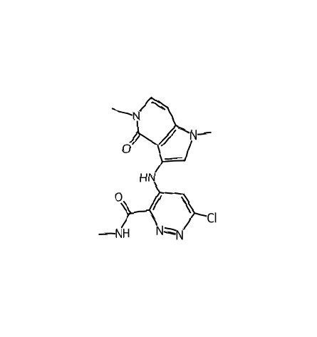 CNC(=O)c1nnc(Cl)cc1Nc1cn(C)c2ccn(C)c(=O)c12